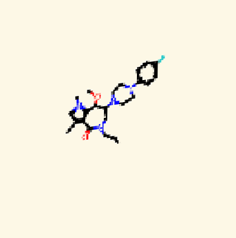 CCCN1CC(N2CCN(c3ccc(F)cc3)CC2)C(OC)c2c(c(C)cn2C)C1=O